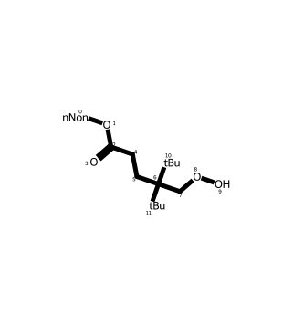 CCCCCCCCCOC(=O)CCC(COO)(C(C)(C)C)C(C)(C)C